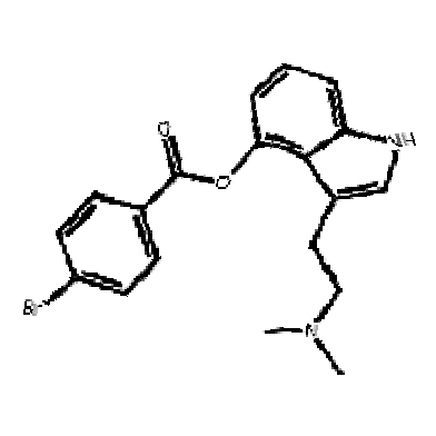 CN(C)CCc1c[nH]c2cccc(OC(=O)c3ccc(Br)cc3)c12